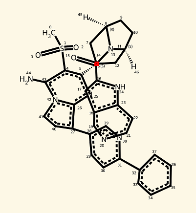 CS(=O)(=O)c1c([C@@H]2C[C@H]3CC[C@@H](C2)N3C(=O)c2cc3cnccc3[nH]2)nc2c(-c3ccc(-c4ccccc4)nc3)ccn2c1N